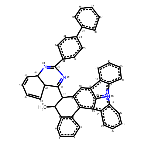 CC1c2ccccc2-c2c(cc3c4ccccc4n4c5ccccc5c2c34)C1C1=NC(c2ccc(-c3ccccc3)cc2)=NC2C=CC=CC12